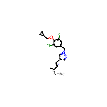 CC(=O)N[C@@H](C)/C=C/c1cnn(Cc2cc(Cl)c(OCC3CC3)c(Cl)c2)c1